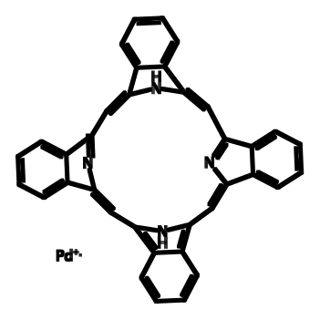 [Pd+].c1ccc2c(c1)-c1cc3[nH]c(cc4nc(cc5[nH]c(cc-2n1)c1ccccc51)-c1ccccc1-4)c1ccccc31